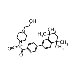 CC1(C)CCC(C)(C)c2cc(-c3ccc(C(=O)[N+](=C=O)N4CCN(CCO)CC4)cc3)ccc21